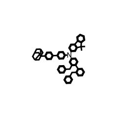 CC1(C)c2ccccc2-c2ccc(N(c3ccc(-c4ccc(C56CC7CC(CC(C7)C5)C6)cc4)cc3)c3ccc(-c4ccccc4Cc4ccccc4)c(Cc4ccccc4)c3)cc21